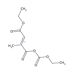 CCOC(=O)/C=C(\C)C(=O)OC(=O)OCC